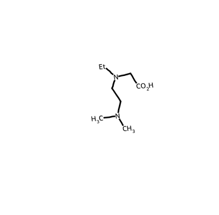 CCN(CCN(C)C)CC(=O)O